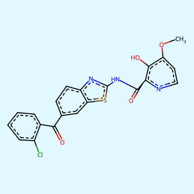 COc1ccnc(C(=O)Nc2nc3ccc(C(=O)c4ccccc4Cl)cc3s2)c1O